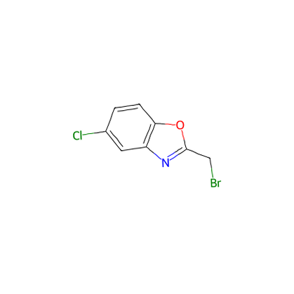 Clc1ccc2oc(CBr)nc2c1